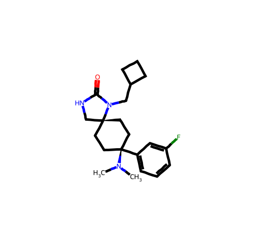 CN(C)[C@]1(c2cccc(F)c2)CC[C@@]2(CC1)CNC(=O)N2CC1CCC1